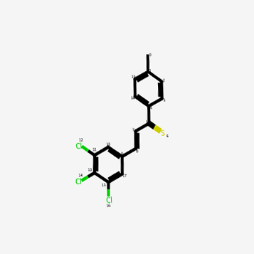 Cc1ccc(C(=S)C=Cc2cc(Cl)c(Cl)c(Cl)c2)cc1